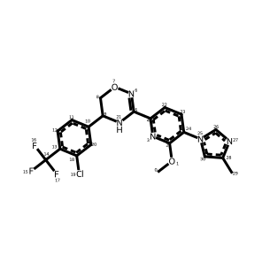 COc1nc(C2=NOCC(c3ccc(C(F)(F)F)c(Cl)c3)N2)ccc1-n1cnc(C)c1